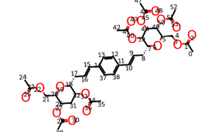 CC(=O)OC[C@H]1O[C@H](C/C=C/c2ccc(/C=C/C[C@H]3O[C@H](COC(C)=O)[C@@H](OC(C)=O)C[C@@H]3OC(C)=O)cc2)[C@@H](OC(C)=O)[C@@H](OC(C)=O)[C@@H]1OC(C)=O